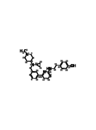 CN1CCC(N(Cc2cccc(-c3ccnc(NCCc4ccc(O)cc4)n3)c2)C2CC2)CC1